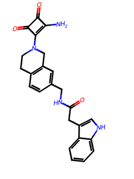 Nc1c(N2CCc3ccc(CNC(=O)Cc4c[nH]c5ccccc45)cc3C2)c(=O)c1=O